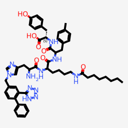 CCCCCCCC(=O)NCCCCC(NC(=O)C(N)Cc1cn(Cc2ccc(-c3ccccc3)c(-c3nnn[nH]3)c2)cn1)C(=O)NC(Cc1ccc(C)cc1)C(=O)N[C@@H](Cc1ccc(O)cc1)C(=O)O